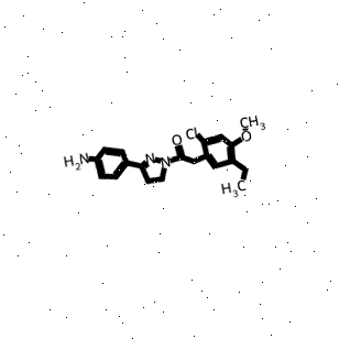 CCc1cc(CC(=O)N2CCC(c3ccc(N)cc3)=N2)c(Cl)cc1OC